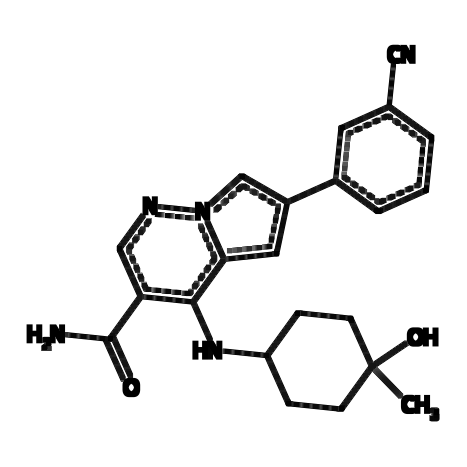 CC1(O)CCC(Nc2c(C(N)=O)cnn3cc(-c4cccc(C#N)c4)cc23)CC1